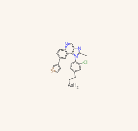 Cc1nc2cnc3ccc(-c4ccsc4)cc3c2n1-c1ccc(CC[AsH2])cc1Cl